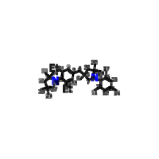 CCc1cc(CC2(C)CN(c3c(C)cc(C)cc3C)C(C)(C)C2)cc(CC)c1N1CC(C)(C)CC1(C)C